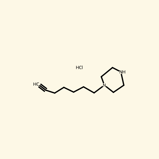 C#CCCCCCN1CCNCC1.Cl